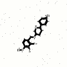 CCOc1ccc(COC2CCC(c3ccc(CC)cc3)OC2)c(F)c1F